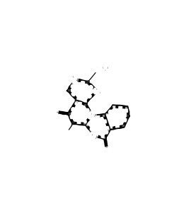 CCOC(=O)c1c(=O)c2cnc(SC)nc2n2c1[nH]c(=O)c1ccccc12